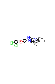 CC(C)(CC(=O)O)CN1CCc2nc(-c3ccc(OCc4ccc(Cl)c(Cl)c4)cc3)ncc2C1